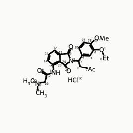 CCOc1cc(C(CC(C)=O)N2C(=O)c3cccc(NC(=O)CN(C)C)c3C2=O)ccc1OC.Cl